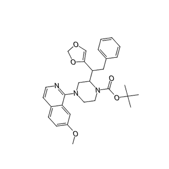 COc1ccc2ccnc(N3CCN(C(=O)OC(C)(C)C)C(C(Cc4ccccc4)C4=COCO4)C3)c2c1